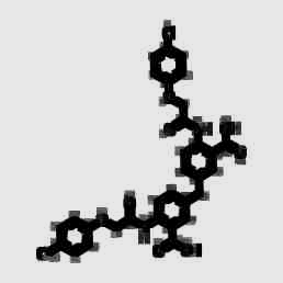 O=C(COc1ccc(Cl)cc1)Nc1ccc(Cc2ccc(NC(=O)COc3ccc(Cl)cc3)c(C(=O)O)c2)cc1C(=O)O